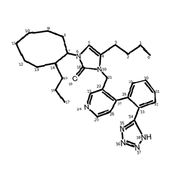 CCCCc1cn(C2CCCCCCC2CCC)c(=O)n1Cc1cnccc1-c1ccccc1-c1nnn[nH]1